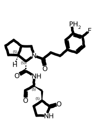 O=C[C@H](C[C@@H]1CCNC1=O)NC(=O)[C@@H]1[C@H]2CCCC2CN1C(=O)CCc1ccc(F)c(P)c1